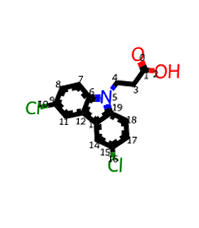 O=C(O)CCn1c2ccc(Cl)cc2c2cc(Cl)ccc21